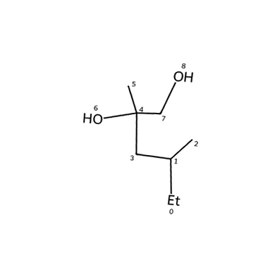 CCC(C)CC(C)(O)CO